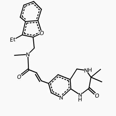 CCc1c(CN(C)C(=O)C=Cc2cnc3c(c2)CNC(C)(C)C(=O)N3)oc2ccccc12